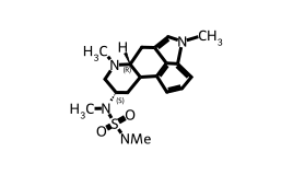 CNS(=O)(=O)N(C)[C@H]1CC2c3cccc4c3c(cn4C)C[C@H]2N(C)C1